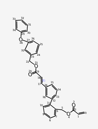 C=CC(=O)OCc1ccccc1-c1cccc(/C=C/C(=O)OCc2cccc(Oc3ccccc3)c2)c1